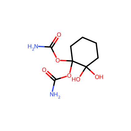 NC(=O)OC1(OC(N)=O)CCCCC1(O)O